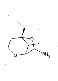 BC1O[C@@]2(CC)CCOC1C2C